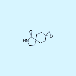 O=C1NCCC12CCC1(CC2)CO1